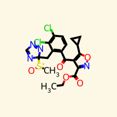 CCOC(=O)c1noc(C2CC2)c1C(=O)c1ccc(Cl)c(Cl)c1CC1([S+](C)[O-])N=CN=N1